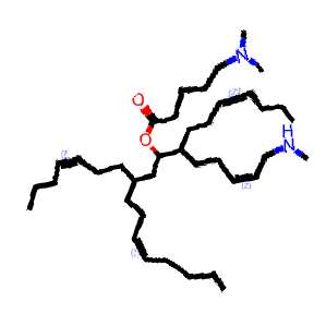 CCC/C=C\CCC(CC/C=C\CCCC)CC(OC(=O)CCCCN(C)C)C(CC/C=C\CCC)CC/C=C\CNC